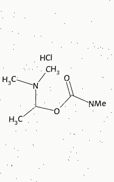 CNC(=O)OC(C)N(C)C.Cl